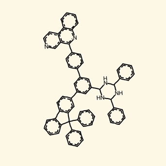 c1ccc(C2NC(c3ccccc3)NC(c3cc(-c4ccc(-c5nc6ccccc6c6ccncc56)cc4)cc(-c4ccc5c(c4)C(c4ccccc4)(c4ccccc4)c4ccccc4-5)c3)N2)cc1